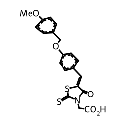 COc1ccc(COc2ccc(/C=C3\SC(=S)N(CC(=O)O)C3=O)cc2)cc1